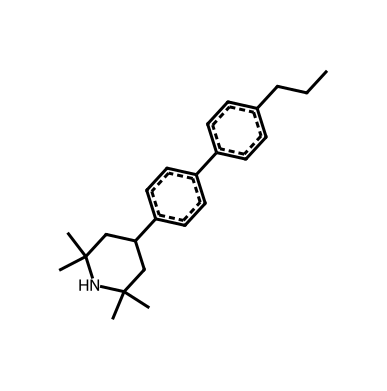 CCCc1ccc(-c2ccc(C3CC(C)(C)NC(C)(C)C3)cc2)cc1